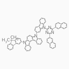 CC1(C)c2ccccc2-c2cc(-n3c4ccccc4c4c5c6ccccc6n(-c6ccc7c8ccccc8n(-c8nc(-c9ccc%10ccccc%10c9)nc(-c9ccc%10ccccc%10c9)n8)c7c6)c5ccc43)ccc21